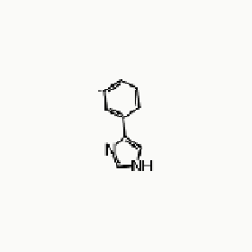 [c]1cccc(-c2c[nH]cn2)c1